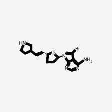 Nc1ncnc2c1c(Br)cn2[C@H]1CC[C@H](/C=C/C2CCNC2)O1